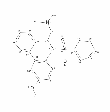 COc1ccc(N(CCN(C)C)S(=O)(=O)c2ccccc2)c(-c2ccccc2)c1